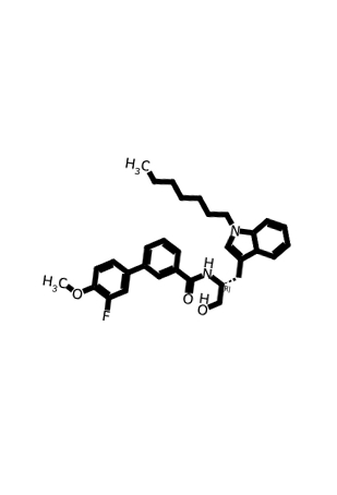 CCCCCCCN1C=C(C[C@H](CO)NC(=O)c2cccc(-c3ccc(OC)c(F)c3)c2)C2C=CC=CC21